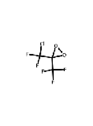 FC(F)(F)C1(C(F)(F)Cl)OO1